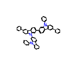 c1ccc(-c2ccc3c(c2)c2ccc(-c4ccc5c6cc(-c7ccccc7)ccc6n(-c6ccc7c8ccccc8n(-c8ccccc8)c7c6)c5c4)cc2n3-c2ccccc2)cc1